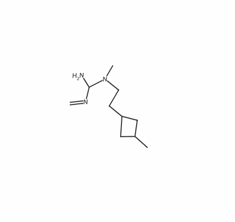 C=NC(N)N(C)CCC1CC(C)C1